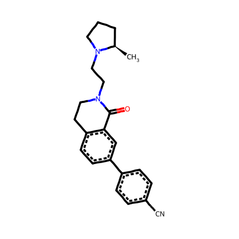 C[C@@H]1CCCN1CCN1CCc2ccc(-c3ccc(C#N)cc3)cc2C1=O